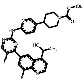 CC(O)c1ccnc2c(F)cc(-c3nc(Nc4ccc(C5CCN(C(=O)OC(C)(C)C)CC5)cn4)ncc3F)cc12